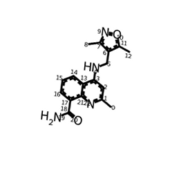 Cc1cc(NCc2c(C)noc2C)c2cccc(C(N)=O)c2n1